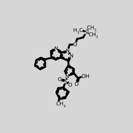 Cc1ccc(S(=O)(=O)n2cc(-c3nn(COCC[Si](C)(C)C)c4ncc(-c5ccccc5)cc34)cc2C(=O)O)cc1